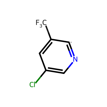 FC(F)(F)c1[c]ncc(Cl)c1